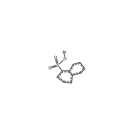 O=S(=O)(OBr)c1cccc2ccccc12